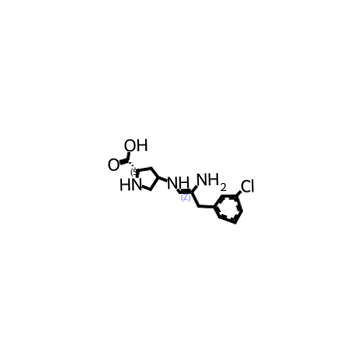 N/C(=C\NC1CN[C@H](C(=O)O)C1)Cc1cccc(Cl)c1